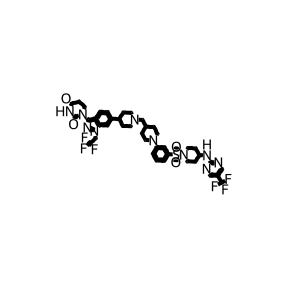 O=C1CCN(c2nn(CC(F)(F)F)c3cc(C4CCN(CC5CCN(c6cccc(S(=O)(=O)N7CCC(Nc8ncc(C(F)(F)F)cn8)CC7)c6)CC5)CC4)ccc23)C(=O)N1